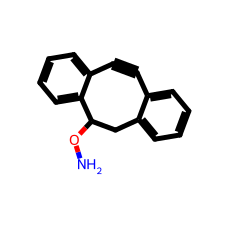 NOC1Cc2ccccc2C#Cc2ccccc21